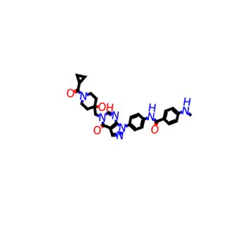 CNc1ccc(C(=O)Nc2ccc(-n3ncc4c(=O)n(CC5(O)CCN(C(=O)C6CC6)CC5)cnc43)cc2)cc1